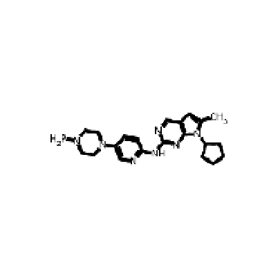 Cc1cc2cnc(Nc3ccc(N4CCN(P)CC4)cn3)nc2n1C1CCCC1